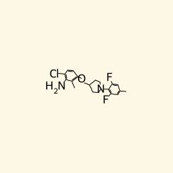 Cc1cc(F)c(N2CCC(COc3ccc(Cl)c(N)c3C)CC2)c(F)c1